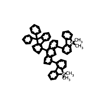 C[Si]1(C)c2ccccc2-c2c(-c3cccc4c(-c5cccc6c5-c5ccccc5C6(c5ccccc5)c5ccccc5)c5cccc(-c6cccc7c6-c6ccccc6[Si]7(C)C)c5cc34)cccc21